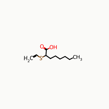 C=CSC(CCCCCC)C(=O)O